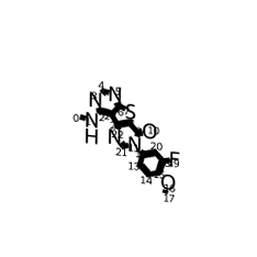 CNc1ncnc2sc3c(=O)n(-c4ccc(OC)c(F)c4)cnc3c12